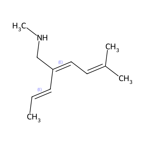 C/C=C/C(=C\C=C(C)C)CNC